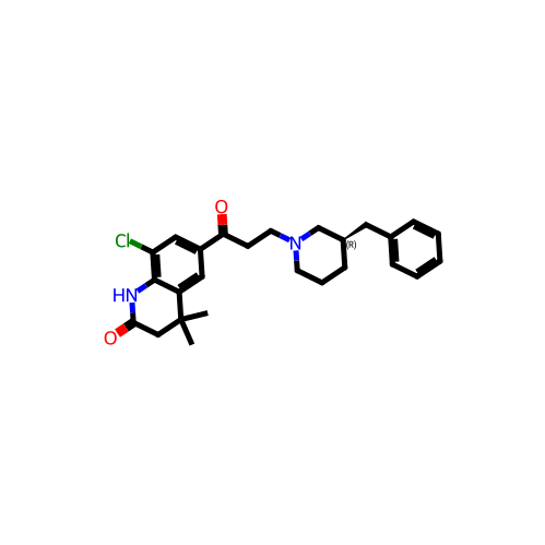 CC1(C)CC(=O)Nc2c(Cl)cc(C(=O)CCN3CCC[C@H](Cc4ccccc4)C3)cc21